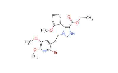 CCOC(=O)C1=C(c2ccccc2OC)N(CCc2cc(OC)c(OC)nc2Br)CN1